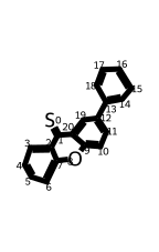 S=c1c2ccccc2oc2ccc(-c3ccccc3)cc12